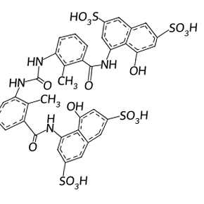 Cc1c(NC(=O)Nc2cccc(C(=O)Nc3cc(S(=O)(=O)O)cc4cc(S(=O)(=O)O)cc(O)c34)c2C)cccc1C(=O)Nc1cc(S(=O)(=O)O)cc2cc(S(=O)(=O)O)cc(O)c12